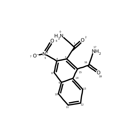 NC(=O)c1c([N+](=O)[O-])cc2ccccc2c1C(N)=O